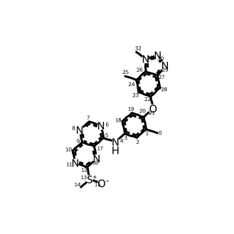 Cc1cc(Nc2ncnc3cnc([S+](C)[O-])nc23)ccc1Oc1cc(C)c2c(c1)nnn2C